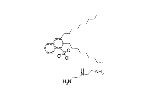 CCCCCCCCCc1cc2ccccc2c(S(=O)(=O)O)c1CCCCCCCCC.NCCNCCN